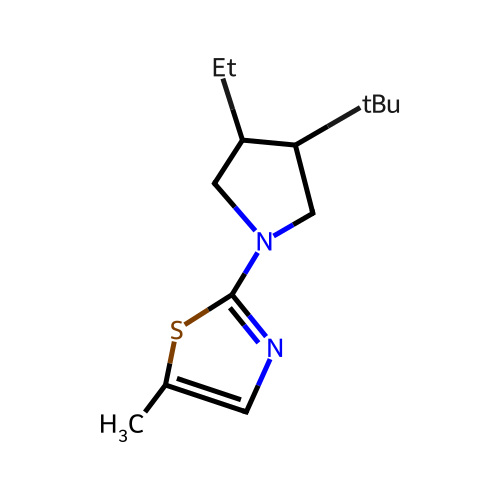 CCC1CN(c2ncc(C)s2)CC1C(C)(C)C